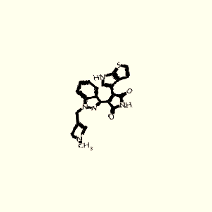 CN1CC(Cn2nc(C3=C(c4c[nH]c5sccc45)C(=O)NC3=O)c3ccccc32)C1